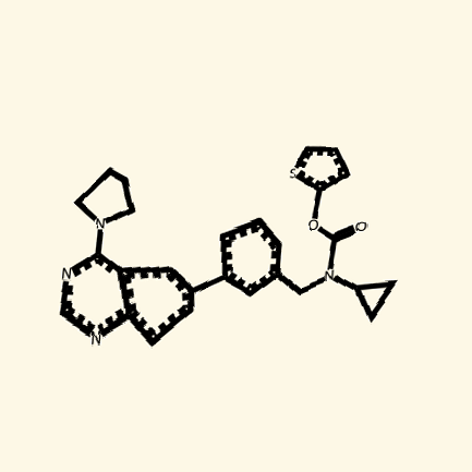 O=C(Oc1cccs1)N(Cc1cccc(-c2ccc3ncnc(N4CCCC4)c3c2)c1)C1CC1